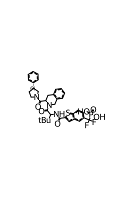 CC(C)(C)C(NC(=O)c1cc2cc(C(F)(F)P(=O)(O)O)ccc2s1)C(=O)N1Cc2ccccc2CC1C(=O)N1CC[C@H](c2ccccc2)C1